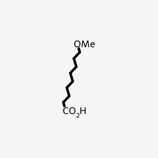 COCCCCCCCCC(=O)O